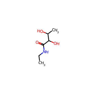 CCNC(=O)C(O)C(C)O